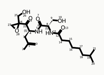 C=C(C)C[C@H](NC(=O)[C@H](CO)NC(=O)CCCCCC(C)C)C(=O)C1(CO)CO1